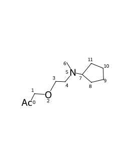 CC(=O)COCCN(C)C1CCCC1